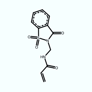 C=CC(=O)NCN1C(=O)c2ccccc2S1(=O)=O